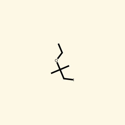 CCOC(C)(C)CI